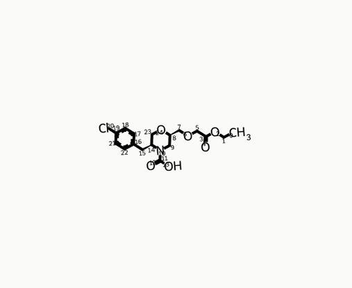 CCOC(=O)COC[C@H]1CN(C(=O)O)[C@@H](Cc2ccc(Cl)cc2)CO1